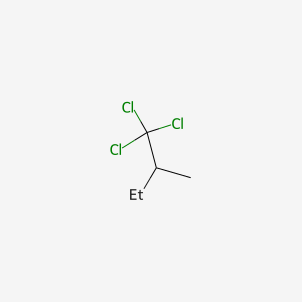 [CH2]CC(C)C(Cl)(Cl)Cl